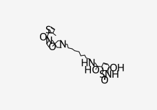 Cc1ccsc1C(=O)N1CCOC2(CCN(CCCCCCCCCNC[C@H](O)c3ccc(O)c4[nH]c(=O)sc34)CC2)C1